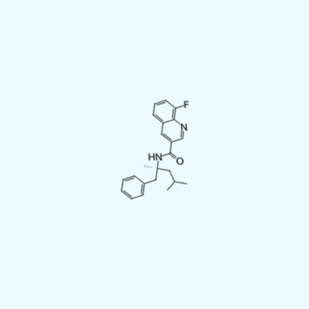 CC(C)C[C@@](C)(Cc1ccccc1)NC(=O)c1cnc2c(F)cccc2c1